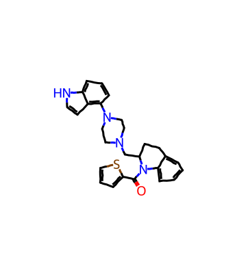 O=C(c1cccs1)N1c2ccccc2CCC1CN1CCN(c2cccc3[nH]ccc23)CC1